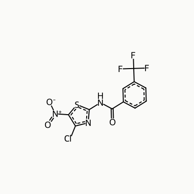 O=C(Nc1nc(Cl)c([N+](=O)[O-])s1)c1cccc(C(F)(F)F)c1